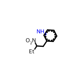 CCC(Cc1ccccc1)[N+](=O)[O-].N